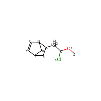 COC(Cl)[SiH2]C1CC2C=CC1C2